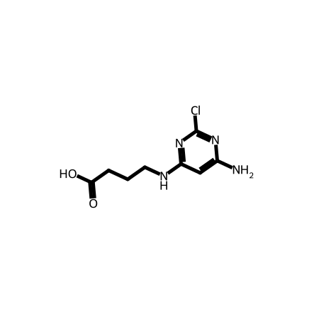 Nc1cc(NCCCC(=O)O)nc(Cl)n1